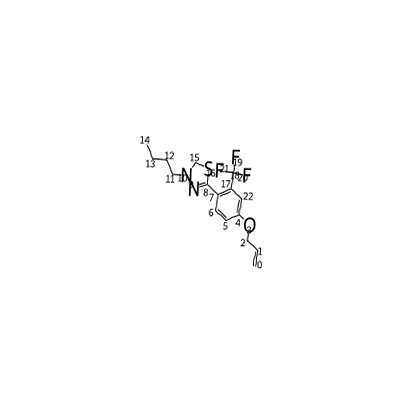 C=CCOc1ccc(C2=NN(CCCC)CS2)c(C(F)(F)F)c1